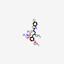 COc1ccc(S(N)(=O)=O)c(CC(C)CC(C)c2nc3ccc(Cl)cc3s2)c1